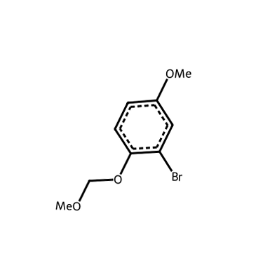 COCOc1ccc(OC)cc1Br